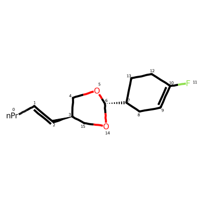 CCC/C=C/[C@H]1CO[C@H](C2CC=C(F)CC2)OC1